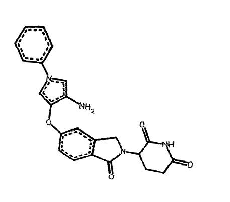 Nc1cn(-c2ccccc2)cc1Oc1ccc2c(c1)CN(C1CCC(=O)NC1=O)C2=O